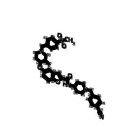 CS(=O)(=O)c1ccc(CN2CCC(Oc3ccc4oc(C(=O)NC5CCN(Cc6ccc(C#N)cc6)CC5)cc4c3)C(F)C2)cc1